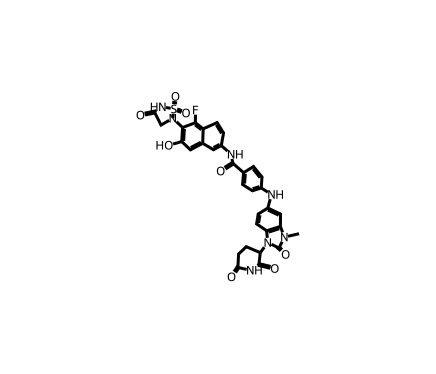 Cn1c(=O)n(C2CCC(=O)NC2=O)c2ccc(Nc3ccc(C(=O)Nc4ccc5c(F)c(N6CC(=O)NS6(=O)=O)c(O)cc5c4)cc3)cc21